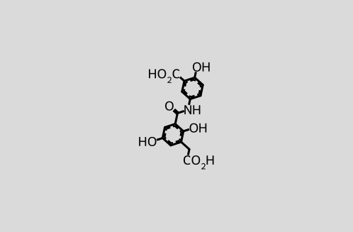 O=C(O)Cc1cc(O)cc(C(=O)Nc2ccc(O)c(C(=O)O)c2)c1O